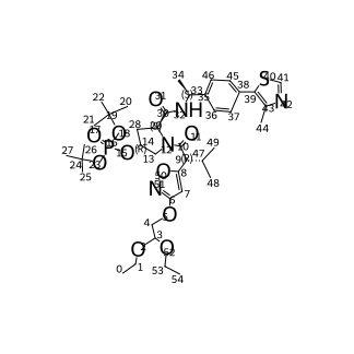 CCOC(COc1cc([C@H](C(=O)N2C[C@H](OP(=O)(OC(C)(C)C)OC(C)(C)C)C[C@H]2C(=O)N[C@@H](C)c2ccc(-c3scnc3C)cc2)C(C)C)on1)OCC